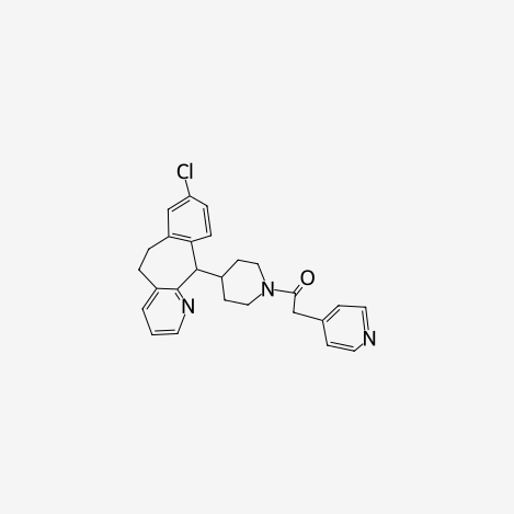 O=C(Cc1ccncc1)N1CCC(C2c3ccc(Cl)cc3CCc3cccnc32)CC1